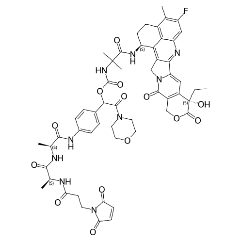 CC[C@@]1(O)C(=O)OCc2c1cc1n(c2=O)Cc2c-1nc1cc(F)c(C)c3c1c2[C@@H](NC(=O)C(C)(C)NC(=O)OC(C(=O)N1CCOCC1)c1ccc(NC(=O)[C@H](C)NC(=O)[C@H](C)NC(=O)CCN2C(=O)C=CC2=O)cc1)CC3